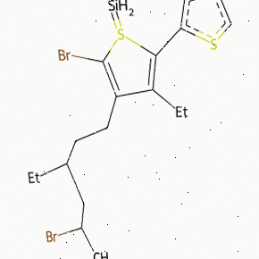 CCC1=C(c2cccs2)S(=[SiH2])C(Br)=C1CCC(CC)CC(C)Br